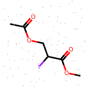 COC(=O)C(I)COC(C)=O